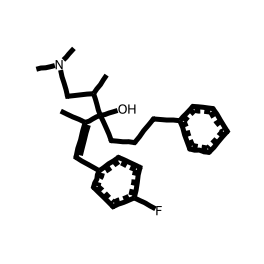 CC(=Cc1ccc(F)cc1)C(O)(CCCc1ccccc1)C(C)CN(C)C